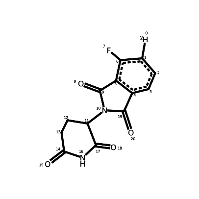 [2H]c1ccc2c(c1F)C(=O)N(C1CCC(=O)NC1=O)C2=O